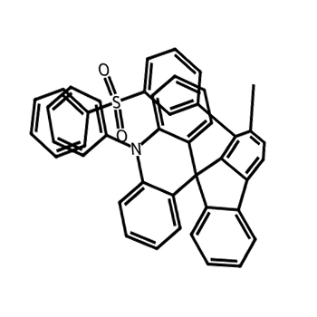 Cc1ccc2c(c1-c1cccc(S(=O)(=O)c3ccccc3)c1)C1(c3ccccc3-2)c2ccccc2N(c2ccccc2)c2ccccc21